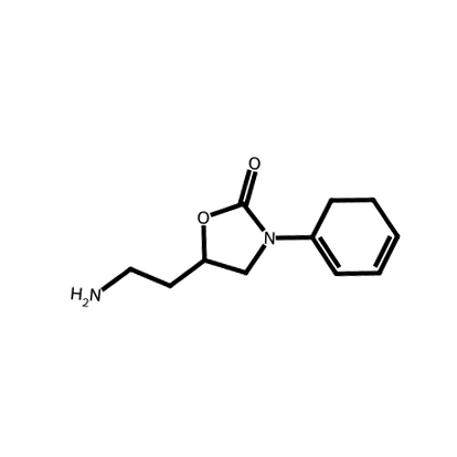 NCCC1CN(C2=CC=CCC2)C(=O)O1